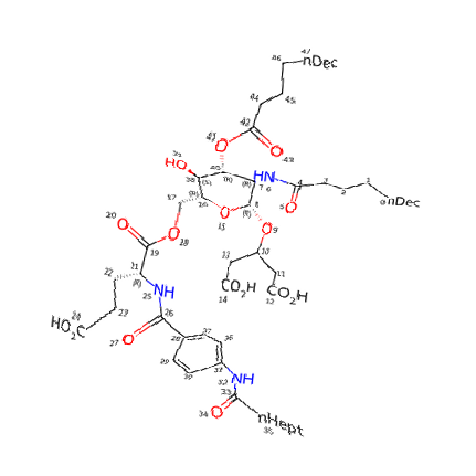 CCCCCCCCCCCCCC(=O)N[C@H]1[C@H](OC(CC(=O)O)CC(=O)O)O[C@H](COC(=O)[C@@H](CCC(=O)O)NC(=O)c2ccc(NC(=O)CCCCCCC)cc2)[C@@H](O)[C@@H]1OC(=O)CCCCCCCCCCCCC